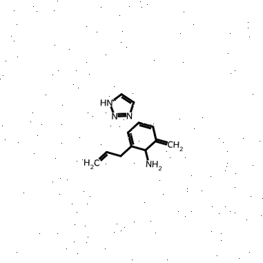 C=CCC1=CC=CC(=C)C1N.c1c[nH]nn1